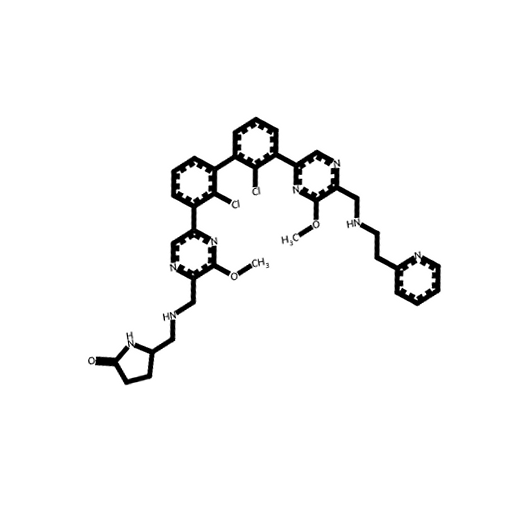 COc1nc(-c2cccc(-c3cccc(-c4cnc(CNCC5CCC(=O)N5)c(OC)n4)c3Cl)c2Cl)cnc1CNCCc1ccccn1